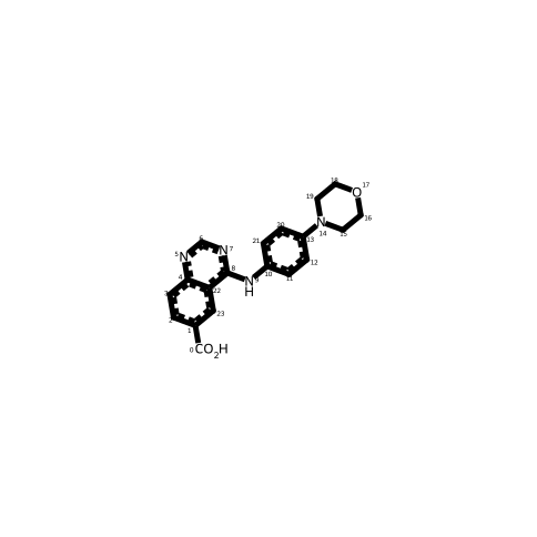 O=C(O)c1ccc2ncnc(Nc3ccc(N4CCOCC4)cc3)c2c1